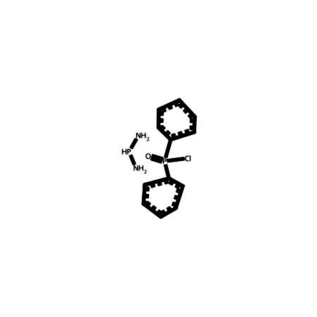 NPN.O=P(Cl)(c1ccccc1)c1ccccc1